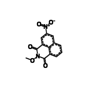 CON1C(=O)c2cccc3cc([N+](=O)[O-])cc(c23)C1=O